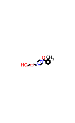 Cc1ccccc1C(=O)N1CCN(CCOCCO)CC1